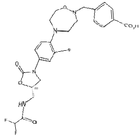 O=C(O)c1ccc(CN2CCN(c3ccc(N4C[C@H](CNC(=O)C(F)F)OC4=O)cc3F)CCO2)cc1